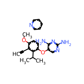 C#Cc1c(OC)ccc(Oc2cnc(N)nc2N)c1C(C)C.c1ccncc1